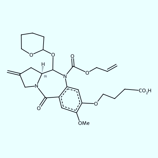 C=CCOC(=O)N1c2cc(OCCCC(=O)O)c(OC)cc2C(=O)N2CC(=C)C[C@H]2C1OC1CCCCO1